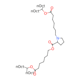 CCCCCCCCC(CCCCCCCC)OC(=O)CCCCCCOC(=O)C1CCCN1CCCCCCC(=O)OC(CCCCCCCC)CCCCCCCC